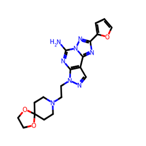 Nc1nc2c(cnn2CCN2CCC3(CC2)OCCO3)c2nc(-c3ccco3)nn12